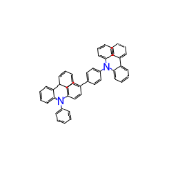 C1=CCC(c2ccccc2N(c2ccccc2)c2ccc(-c3ccc(N(c4ccccc4)c4ccccc4-c4ccccc4)cc3)cc2)C=C1